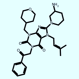 CC(C)=CCn1c(N2CCCC(N)C2)nc2c1c(=O)n(CC(=O)c1ccccc1)c(=O)n2CC1CCOCC1